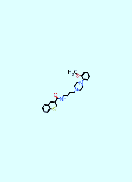 COc1ccccc1N1CCN(CCCCNC(=O)C2=Cc3ccccc3SC2)CC1